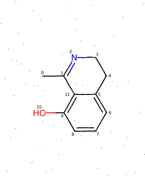 CC1=NCCc2cccc(O)c21